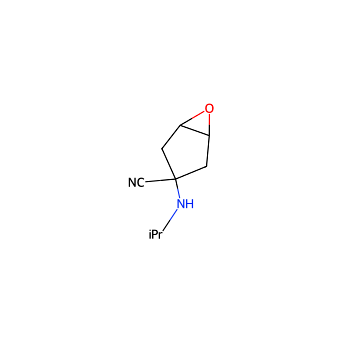 CC(C)NC1(C#N)CC2OC2C1